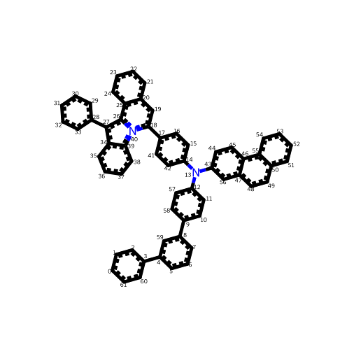 c1ccc(-c2cccc(-c3ccc(N(c4ccc(-c5cc6ccccc6c6c(-c7ccccc7)c7ccccc7n56)cc4)c4ccc5c(ccc6ccccc65)c4)cc3)c2)cc1